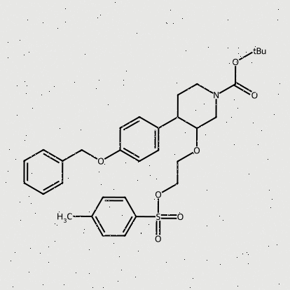 Cc1ccc(S(=O)(=O)OCCOC2CN(C(=O)OC(C)(C)C)CCC2c2ccc(OCc3ccccc3)cc2)cc1